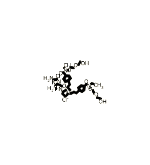 CCN(OCCOCCO)C(=O)c1ccc(CCC[N+]2(CCCc3ccc(C(=O)N(CC)OCCOCCO)cc3)CCCC(NC(=O)c3nc(Cl)c(N)nc3N)C2)cc1.[Cl-]